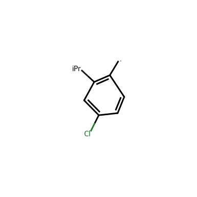 [CH2]c1ccc(Cl)cc1C(C)C